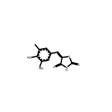 Cc1cc(C=C2SC(=S)NC2=O)cc(C(C)(C)C)c1O